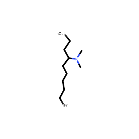 CCCCCCCCCCC(CCCCCC(C)C)N(C)C